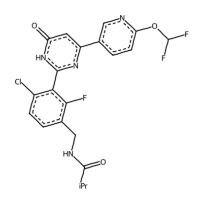 CC(C)C(=O)NCc1ccc(Cl)c(-c2nc(-c3ccc(OC(F)F)nc3)cc(=O)[nH]2)c1F